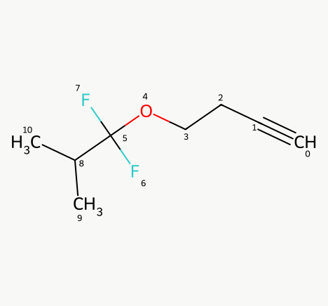 C#CCCOC(F)(F)C(C)C